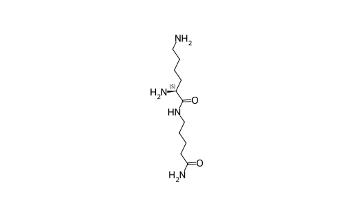 NCCCC[C@H](N)C(=O)NCCCCC(N)=O